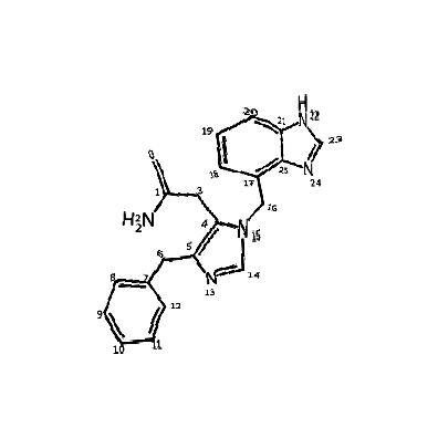 C=C(N)Cc1c(Cc2ccccc2)ncn1Cc1cccc2[nH]cnc12